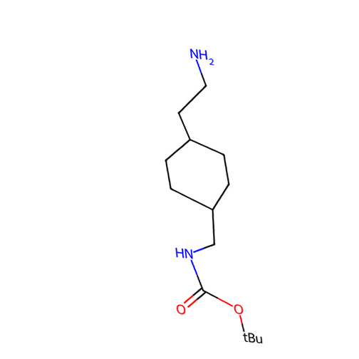 CC(C)(C)OC(=O)NCC1CCC(CCN)CC1